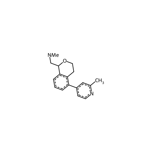 CNCC1OCCc2c(-c3ccnc(C)c3)cccc21